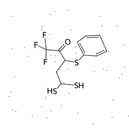 O=C(C(CC(S)S)Sc1ccccc1)C(F)(F)F